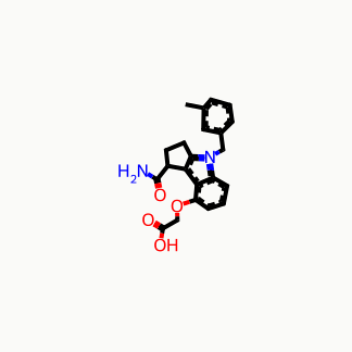 Cc1cccc(Cn2c3c(c4c(OCC(=O)O)cccc42)C(C(N)=O)CC3)c1